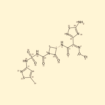 CCO/N=C(\C(=O)N[C@H]1CN(C(=O)NS(=O)(=O)Nc2cc(C)sn2)C1=O)c1nsc(N)n1